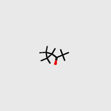 CC(C)(C)C(=O)C1(C)C(C)(C)C1(C)C